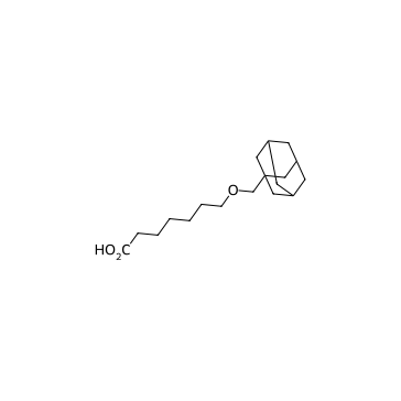 O=C(O)CCCCCCOCC12CC3CC(CC(C3)C1)C2